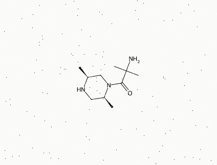 C[C@H]1CN(C(=O)C(C)(C)N)[C@@H](C)CN1